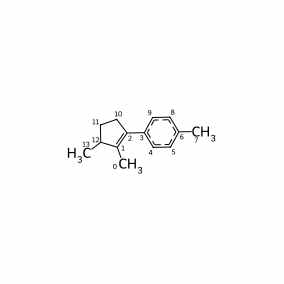 CC1=C(c2ccc(C)cc2)CCC1C